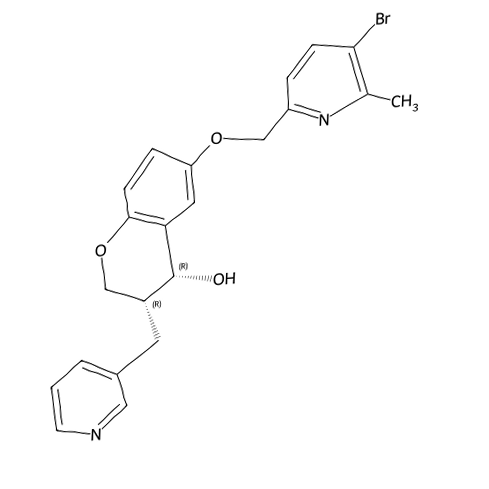 Cc1nc(COc2ccc3c(c2)[C@H](O)[C@H](Cc2cccnc2)CO3)ccc1Br